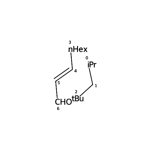 CC(C)CC(C)(C)C.CCCCCCC=CC=O